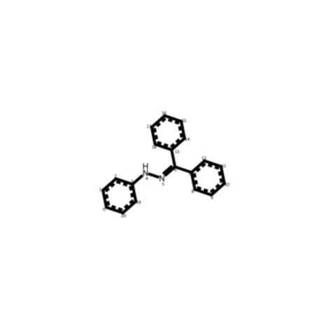 c1ccc(NN=C(c2ccccc2)c2ccccc2)cc1